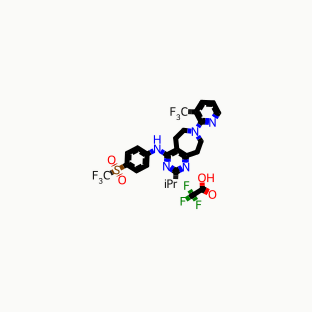 CC(C)c1nc2c(c(Nc3ccc(S(=O)(=O)C(F)(F)F)cc3)n1)CCN(c1ncccc1C(F)(F)F)CC2.O=C(O)C(F)(F)F